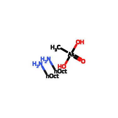 CCCCCCCCN.CCCCCCCCN.C[As](=O)(O)O